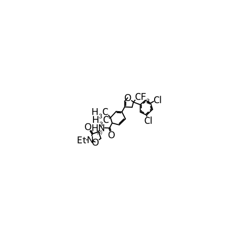 CCN1OC[C@@H](NC(=O)C2C=CC(C3=COC(c4cc(Cl)cc(Cl)c4)(C(F)(F)F)C3)=CC2(C)C)C1=O